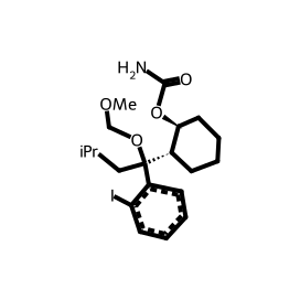 COCOC(CC(C)C)(c1ccccc1I)[C@H]1CCCC[C@@H]1OC(N)=O